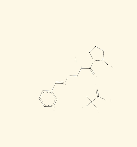 N#C[C@@H]1CCCN1C(=O)[C@@H](N)CON=Cc1cccnc1.O=C(O)C(F)(F)F